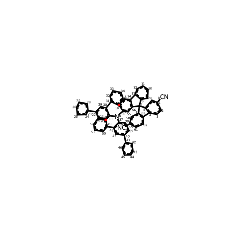 N#Cc1ccc2c(c1)C1(c3ccccc3-c3ccc(N(c4ccc(-c5ccccc5)cc4-c4ccccc4)c4ccc(-c5ccccc5)cc4-c4ccccc4)cc31)c1cc(C#N)ccc1-2